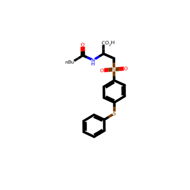 CCCCC(=O)NC(CS(=O)(=O)c1ccc(Sc2ccccc2)cc1)C(=O)O